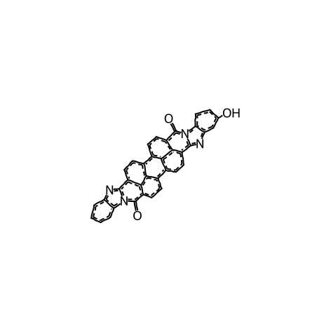 O=c1c2ccc3c4ccc5c6c(ccc(c7ccc(c2c73)c2nc3ccccc3n12)c46)c(=O)n1c2ccc(O)cc2nc51